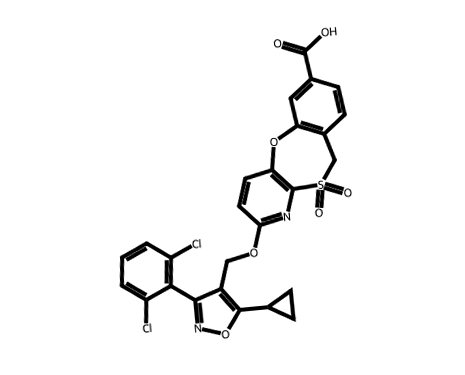 O=C(O)c1ccc2c(c1)Oc1ccc(OCc3c(-c4c(Cl)cccc4Cl)noc3C3CC3)nc1S(=O)(=O)C2